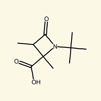 CC1C(=O)N(C(C)(C)C)C1(C)C(=O)O